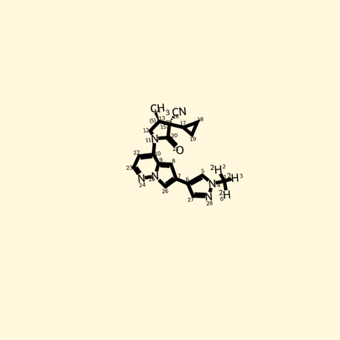 [2H]C([2H])([2H])n1cc(-c2cc3c(N4C[C@@H](C)[C@@](C#N)(C5CC5)C4=O)ccnn3c2)cn1